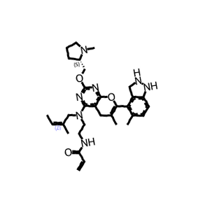 C=CC(=O)NCCN(C/C(C)=C\C)c1nc(OC[C@@H]2CCCN2C)nc2c1CC(C)=C(c1c(C)ccc3c1CNN3)O2